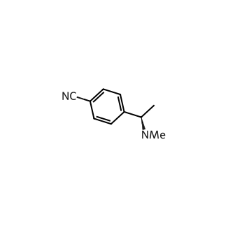 CN[C@H](C)c1ccc(C#N)cc1